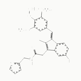 COc1cc(C=C2C(C)=C(CC(=O)NCc3ccco3)c3cc(F)ccc32)cc(OC)c1OC=O